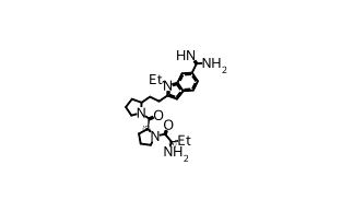 CC[C@@H](N)C(=O)N1CCC[C@H]1C(=O)N1CCCC1CCc1cc2ccc(C(=N)N)cc2n1CC